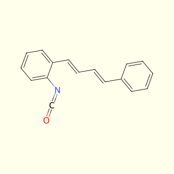 O=C=Nc1ccccc1C=CC=Cc1ccccc1